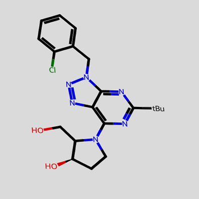 CC(C)(C)c1nc(N2CC[C@@H](O)C2CO)c2nnn(Cc3ccccc3Cl)c2n1